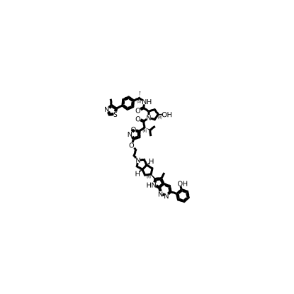 Cc1ncsc1-c1ccc([C@H](C)NC(=O)C2C[C@@H](O)CN2C(=O)[C@@H](c2cc(OCCN3C[C@H]4C[C@@H](c5[nH]c6nnc(-c7ccccc7O)cc6c5C)C[C@H]4C3)no2)C(C)C)cc1